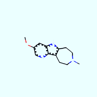 COc1cnc2c3c([nH]c2c1)CCN(C)CC3